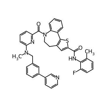 Cc1cccc(F)c1NC(=O)c1cc2c(s1)-c1ccccc1N(C(=O)c1cccc(N(C)Cc3cccc(-c4cccnc4)c3)n1)CC2